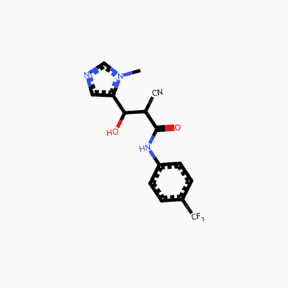 Cn1cncc1C(O)C(C#N)C(=O)Nc1ccc(C(F)(F)F)cc1